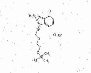 C[Si](C)(C)OCCO[CH2][Ti+2][C]1=C2[SiH2]C2=C2C(=O)C=CC=C12.[Cl-].[Cl-]